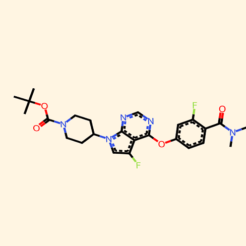 CN(C)C(=O)c1ccc(Oc2ncnc3c2c(F)cn3C2CCN(C(=O)OC(C)(C)C)CC2)cc1F